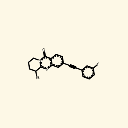 CCC1CCCn2c1nc1cc(C#Cc3cccc(F)c3)ccc1c2=O